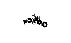 Cn1nc(C(=O)NC2CCN(C3CC3)CC2)c2ccc(N3CCCCCC3)cc21